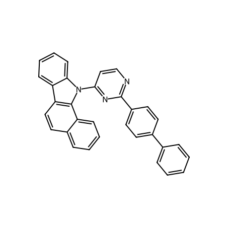 c1ccc(-c2ccc(-c3nccc(-n4c5ccccc5c5ccc6ccccc6c54)n3)cc2)cc1